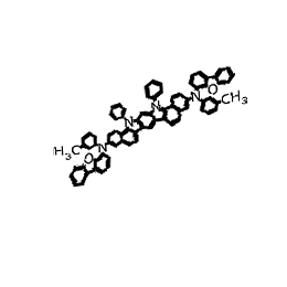 Cc1cccc(N(c2ccc3c(ccc4c5cc6c7ccc8cc(N(c9cccc(C)c9)c9cccc%10c9oc9ccccc9%10)ccc8c7n(-c7ccccc7)c6cc5n(-c5ccccc5)c34)c2)c2cccc3c2oc2ccccc23)c1